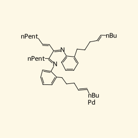 CCCCC=CCCCc1ccccc1N=C(C=CCCCCC)C(CCCCC)=Nc1ccccc1CCCC=CCCCC.[Pd]